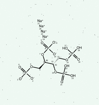 O=P([O-])([O-])OC[C@@H](OP(=O)([O-])[O-])[C@H](COP(=O)(O)O)OP(=O)(O)O.[Na+].[Na+].[Na+].[Na+]